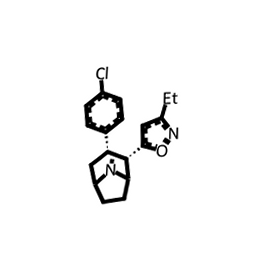 CCc1cc([C@@H]2C3CCC(C[C@@H]2c2ccc(Cl)cc2)N3C)on1